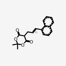 CC1(C)OC(=O)C(C/C=C/c2cccc3ccccc23)C(=O)O1